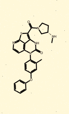 CN[C@H]1CCN(C(=O)c2sc3nccc4c3c2NC(=O)N4c2ccc(Oc3ccccc3)cc2C)C1